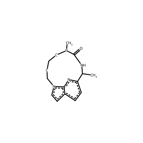 CC1NC(=O)N(C)CCCCn2ccc3ccc1nc32